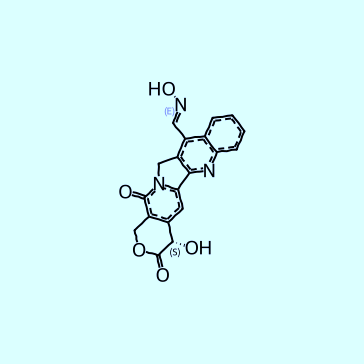 O=C1OCc2c(cc3n(c2=O)Cc2c-3nc3ccccc3c2/C=N/O)[C@@H]1O